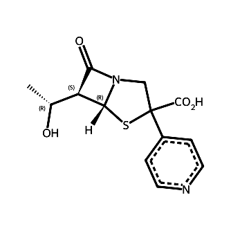 C[C@@H](O)[C@H]1C(=O)N2CC(C(=O)O)(c3ccncc3)S[C@H]12